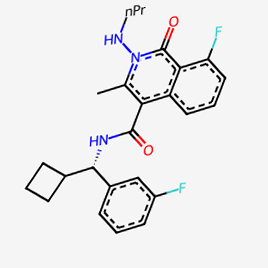 CC[11CH2]Nn1c(C)c(C(=O)N[C@H](c2cccc(F)c2)C2CCC2)c2cccc(F)c2c1=O